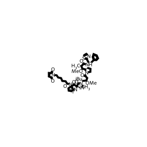 CC[C@H](C)[C@@H]([C@@H](CC(=O)N1CCC[C@H]1[C@H](OC)[C@@H](C)C(=O)N[C@@H](Cc1ccccc1)c1nccs1)OC)N(C)C(=O)[C@](N)(C(=O)C1(NC(=O)CCCCCN2C(=O)C=CC2=O)CCCC1)C(C)C